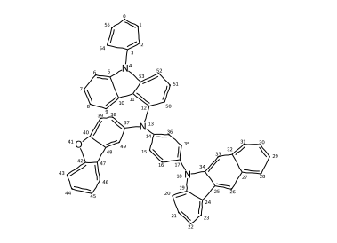 c1ccc(-n2c3ccccc3c3c(N(c4ccc(-n5c6ccccc6c6cc7ccccc7cc65)cc4)c4ccc5oc6ccccc6c5c4)cccc32)cc1